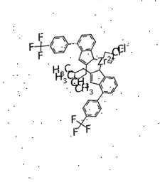 CC(C)CC1=Cc2c(-c3ccc(C(F)(F)F)cc3)cccc2[CH]1[Zr+2]1([CH]2C(CC(C)C)=Cc3c(-c4ccc(C(F)(F)F)cc4)cccc32)[CH2]C[CH2]1.[Cl-].[Cl-]